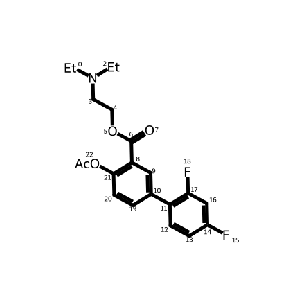 CCN(CC)CCOC(=O)c1cc(-c2ccc(F)cc2F)ccc1OC(C)=O